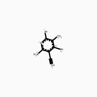 C#Cc1c(N)nc(C(C)C)c(C)c1C(C)C